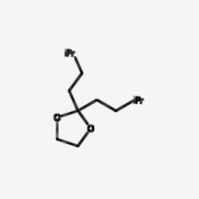 CC(C)CCC1(CCC(C)C)OCCO1